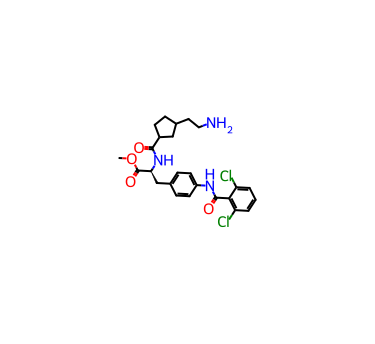 COC(=O)[C@H](Cc1ccc(NC(=O)c2c(Cl)cccc2Cl)cc1)NC(=O)C1CCC(CCN)C1